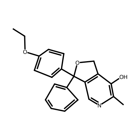 CCOc1ccc(C2(c3ccccc3)OCc3c2cnc(C)c3O)cc1